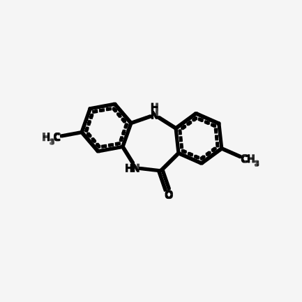 Cc1ccc2c(c1)NC(=O)c1cc(C)ccc1N2